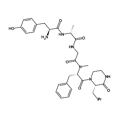 CC(C)C[C@H]1C(=O)NCCN1C(=O)[C@H](Cc1ccccc1)N(C)C(=O)CNC(=O)[C@@H](C)NC(=O)[C@@H](N)Cc1ccc(O)cc1